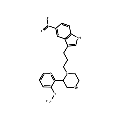 COc1cccnc1C1CNCCN1CCCc1c[nH]c2ccc([N+](=O)[O-])cc12